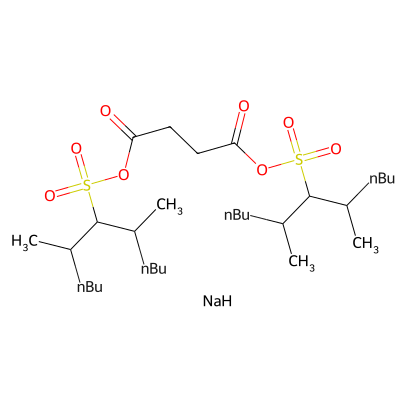 CCCCC(C)C(C(C)CCCC)S(=O)(=O)OC(=O)CCC(=O)OS(=O)(=O)C(C(C)CCCC)C(C)CCCC.[NaH]